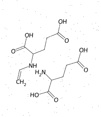 C=CNC(CCC(=O)O)C(=O)O.NC(CCC(=O)O)C(=O)O